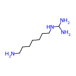 NCCCCCCCNC(N)N